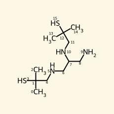 CC(C)(S)CNCC(CN)NCC(C)(C)S